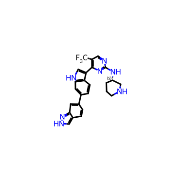 FC(F)(F)c1cnc(N[C@H]2CCCNC2)nc1-c1c[nH]c2cc(-c3ccc4c[nH]nc4c3)ccc12